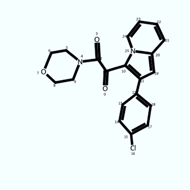 O=C(C(=O)N1CCOCC1)c1c(-c2ccc(Cl)cc2)cc2ccccn12